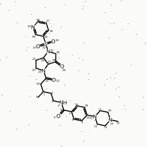 CC(CCNC(=O)c1ccc(N2CCN(C)CC2)cc1)CC(=O)N1CCC2C1C(=O)CN2S(=O)(=O)c1cccnc1